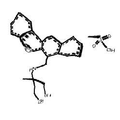 CC(CO)(CO)NCc1c2ccccc2cc2c1oc1ccccc12.CS(=O)(=O)O